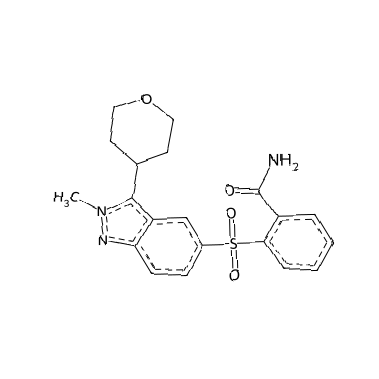 Cn1nc2ccc(S(=O)(=O)c3ccccc3C(N)=O)cc2c1C1CCOCC1